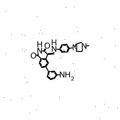 CN1CCN(c2ccc(NC=C3C(=O)NC(=O)c4ccc(-c5cccc(N)c5)cc43)cc2)CC1